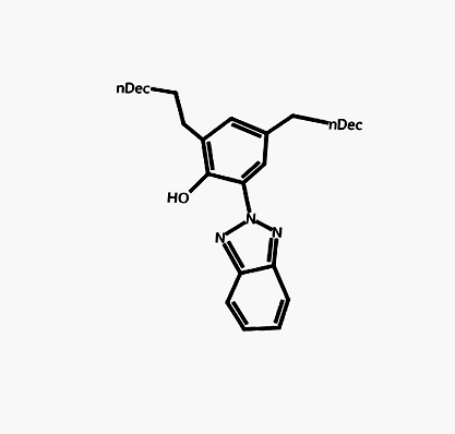 CCCCCCCCCCCCc1cc(CCCCCCCCCCC)cc(-n2nc3ccccc3n2)c1O